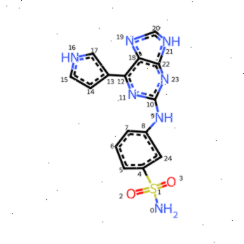 NS(=O)(=O)c1cccc(Nc2nc(-c3cc[nH]c3)c3nc[nH]c3n2)c1